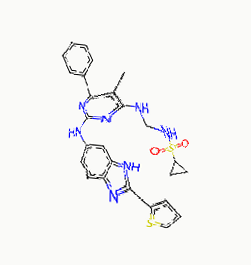 Cc1c(NCNS(=O)(=O)C2CC2)nc(Nc2ccc3nc(-c4cccs4)[nH]c3c2)nc1-c1ccccc1